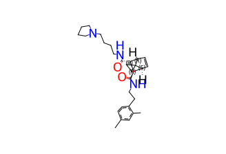 Cc1ccc(CCNC(=O)[C@H]2[C@H](C(=O)NCCCCN3CCCC3)[C@H]3C=C[C@@H]2C32CC2)c(C)c1